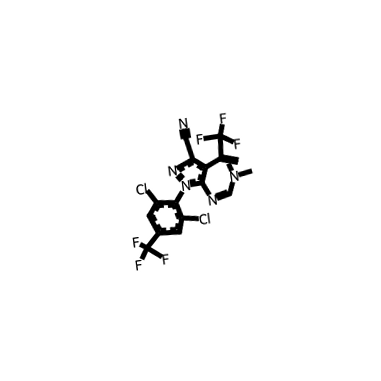 C=C(c1c(C#N)nn(-c2c(Cl)cc(C(F)(F)F)cc2Cl)c1/N=C\N(C)C)C(F)(F)F